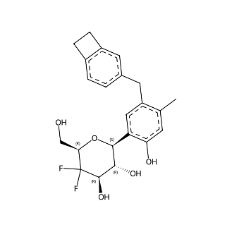 Cc1cc(O)c([C@@H]2O[C@H](CO)C(F)(F)[C@H](O)[C@H]2O)cc1Cc1ccc2c(c1)CC2